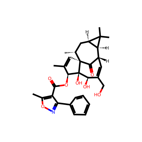 CC1=C[C@]23C(=O)[C@@H](C=C(CO)[C@@H](O)[C@]2(O)[C@H]1OC(=O)c1c(-c2ccccc2)noc1C)[C@H]1[C@@H](C[C@H]3C)C1(C)C